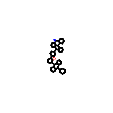 N#Cc1ccccc1-c1c2ccccc2c(-c2ccc3c(c2)oc2c(-c4c5ccccc5c(-c5ccccc5)c5ccccc45)cccc23)c2ccccc12